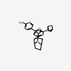 Nc1ncc(-c2cc(N3C4CCC3CN(C3COC3)C4)nc(N3CC4CC3C4)n2)cn1